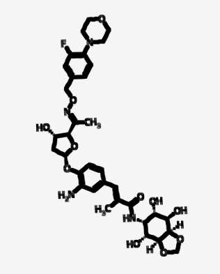 C/C(=C\c1ccc(O[C@H]2C[C@H](O)[C@@H](/C(C)=N/OCc3ccc(N4CCOCC4)c(F)c3)O2)c(N)c1)C(=O)N[C@@H]1[C@H](O)[C@@H](O)[C@H]2OCO[C@H]2[C@@H]1O